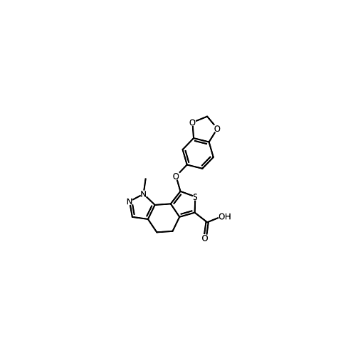 Cn1ncc2c1-c1c(Oc3ccc4c(c3)OCO4)sc(C(=O)O)c1CC2